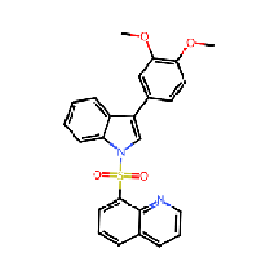 COc1ccc(-c2cn(S(=O)(=O)c3cccc4cccnc34)c3ccccc23)cc1OC